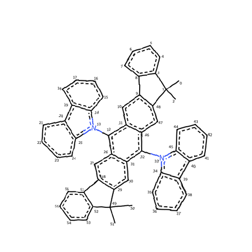 CC1(C)c2ccccc2-c2cc3c(-n4c5ccccc5c5ccccc54)c4cc5c(cc4c(-n4c6ccccc6c6ccccc64)c3cc21)C(C)(C)c1ccccc1-5